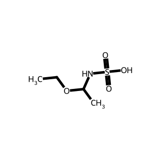 CCOC(C)NS(=O)(=O)O